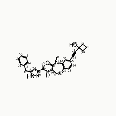 CN1C(=O)[C@H](NC(=O)c2n[nH]c(Cc3ccccc3)n2)COc2ccc(C#CC3(O)CCC3)cc21